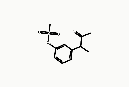 CC(=O)C(C)c1cccc(OS(C)(=O)=O)c1